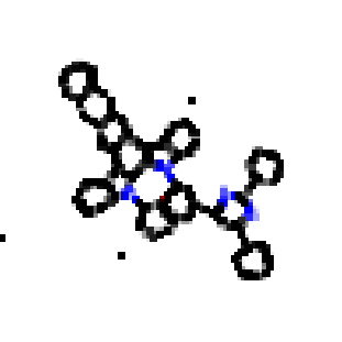 c1ccc(-c2cc(-c3cccc(-n4c5ccccc5c5c6cc7c(cc6c6c8ccccc8n(-c8ccccc8)c6c54)Cc4ccccc4C7)c3)nc(-c3ccccc3)n2)cc1